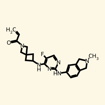 C=CC(=O)N1CC2(CC(Nc3nc(Nc4ccc5c(c4)CN(C)C5)ncc3F)C2)C1